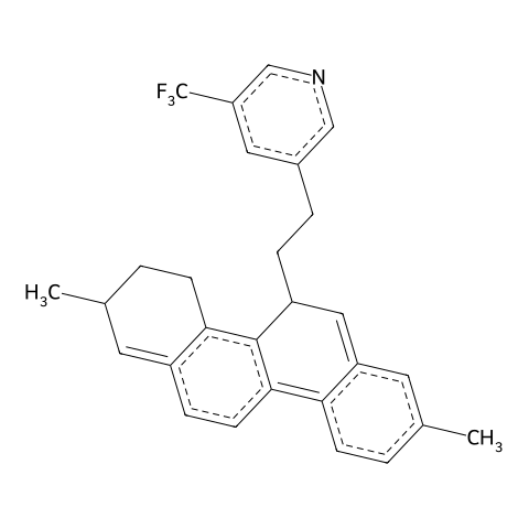 Cc1ccc2c(c1)=CC(CCc1cncc(C(F)(F)F)c1)c1c3c(ccc1=2)=CC(C)CC3